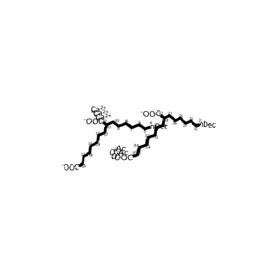 CC(=O)[O-].CC(=O)[O-].CCCCCCCCCCCCCCCCC(CCCCCCCC(=O)[O-])C(=O)[O-].CCCCCCCCCCCCCCCCC(CCCCCCCC(=O)[O-])C(=O)[O-].[Ca+2].[Ca+2].[Ca+2]